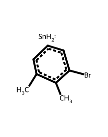 Cc1cccc(Br)c1C.[SnH2]